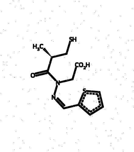 C[C@H](CS)C(=O)N(CC(=O)O)/N=C\c1cccs1